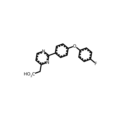 O=C(O)Cc1ccnc(-c2ccc(Oc3ccc(F)cc3)cc2)n1